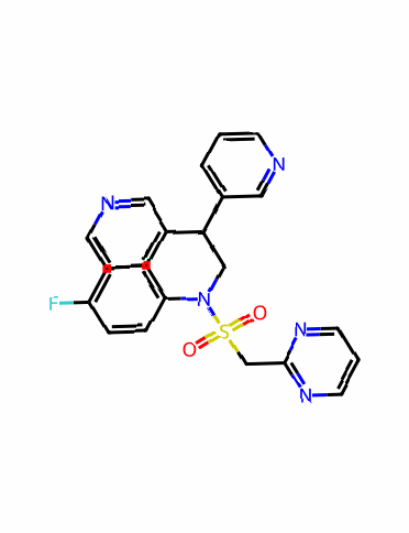 O=S(=O)(Cc1ncccn1)N(CC(c1cccnc1)c1cccnc1)c1ccc(F)cc1